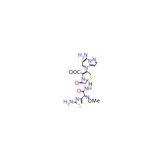 CON=C(C(=O)N[C@@H]1C(=O)N2C(C(=O)[O-])=C([n+]3ccc(N)n4nccc43)CS[C@@H]12)c1csc(N)n1